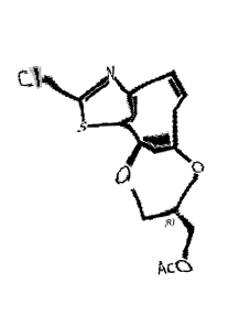 CC(=O)OC[C@H]1COc2c(ccc3nc(Cl)sc23)O1